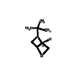 CC(C)(C)N1CC2OC[C@H]21